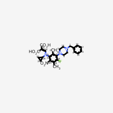 Cc1c(N2CCN(Cc3ccccc3)CC2)c(F)c(C)c([N+](=O)[O-])c1N(C=C(C(=O)O)C(=O)O)C1CC1